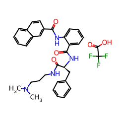 CN(C)CCCNC(=O)[C@H](Cc1ccccc1)NC(=O)c1ccccc1NC(=O)c1ccc2ccccc2c1.O=C(O)C(F)(F)F